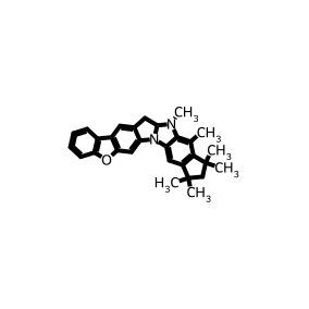 Cc1c2c(cc3c1C(C)(C)CC3(C)C)N1c3cc4oc5c(c4cc3CC1N2C)C=C=C=C5